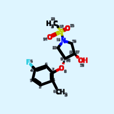 Cc1ccc(F)cc1O[C@@H]1CN(S(C)(=O)=O)C[C@H]1O